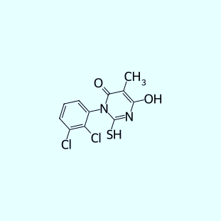 Cc1c(O)nc(S)n(-c2cccc(Cl)c2Cl)c1=O